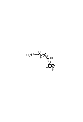 Cc1cc(OCC(O)CNC(C)(C)CNC(=O)CCCO[N+](=O)[O-])c2cc[nH]c2c1